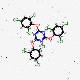 Clc1cc(Cl)c(Oc2nc(Oc3c(Cl)cc(Cl)cc3Cl)nc(Oc3c(Cl)cc(Cl)cc3Cl)n2)c(Cl)c1